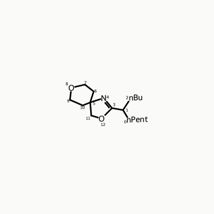 CCCCCC(CCCC)C1=NC2(CCOCC2)CO1